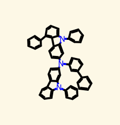 c1ccc(-c2cccc(N(c3ccc4c5ccccc5n(-c5ccccc5)c4c3)c3ccc4c5c(-c6ccccc6)cccc5n(-c5ccccc5)c4c3)c2)cc1